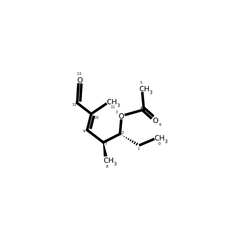 CC[C@@H](OC(C)=O)[C@@H](C)/C=C(\C)C=O